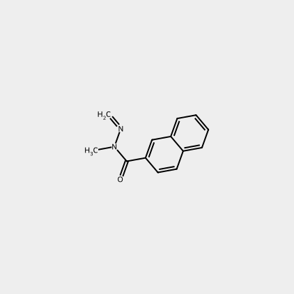 C=NN(C)C(=O)c1ccc2ccccc2c1